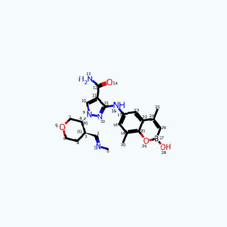 CN=C[C@H]1CCOC[C@@H]1n1cc(C(N)=O)c(Nc2cc(C)c3c(c2)C(C)=CB(O)O3)n1